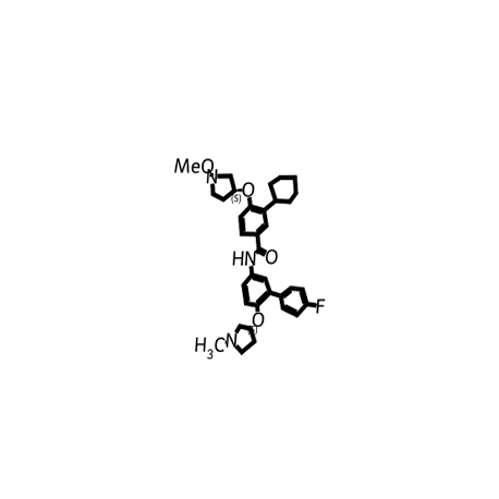 CON1CC[C@H](Oc2ccc(C(=O)Nc3ccc(O[C@H]4CCN(C)C4)c(-c4ccc(F)cc4)c3)cc2C2CCCCC2)C1